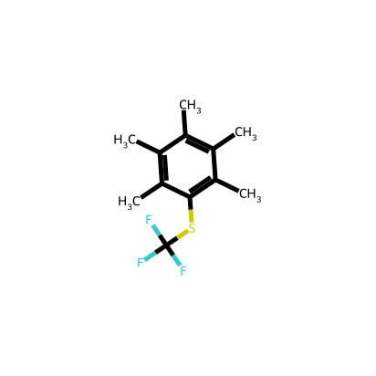 Cc1c(C)c(C)c(SC(F)(F)F)c(C)c1C